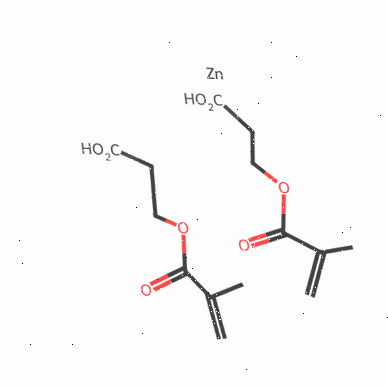 C=C(C)C(=O)OCCC(=O)O.C=C(C)C(=O)OCCC(=O)O.[Zn]